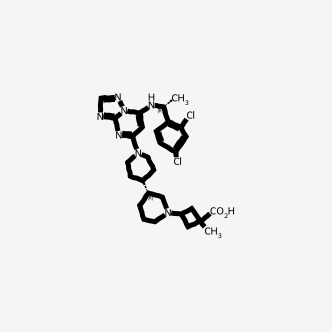 C[C@@H](Nc1cc(N2CCC([C@H]3CCCN(C4CC(C)(C(=O)O)C4)C3)CC2)nc2ncnn12)c1ccc(Cl)cc1Cl